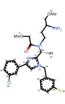 COCC(=O)N(CCC(N)COC)[C@@H](c1nc(-c2cccc(Cl)c2)cn1Cc1cccc(F)c1)C(C)C